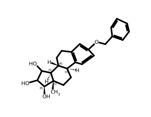 C[C@]12CC[C@@H]3c4ccc(OCc5ccccc5)cc4CC[C@H]3[C@@H]1C(O)C(O)[C@@H]2O